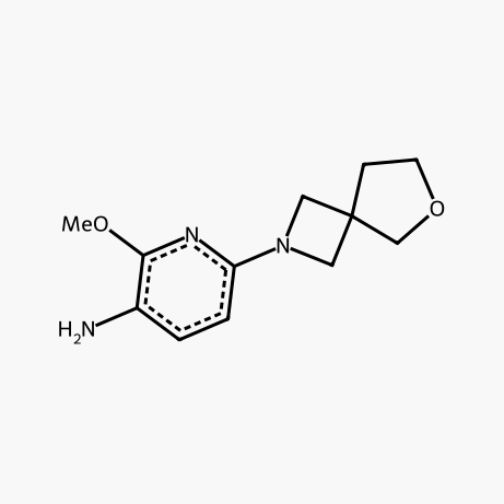 COc1nc(N2CC3(CCOC3)C2)ccc1N